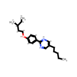 CCCCCc1cnc(-c2ccc(OCCC(C)CC)cc2)nc1